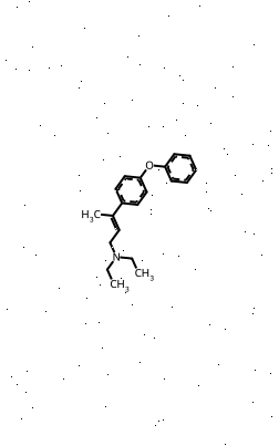 CCN(CC)CC=C(C)c1ccc(Oc2ccccc2)cc1